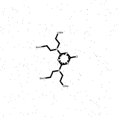 COCCN(CCOC)c1nc(Cl)nc(N(CCOC)CCOC)n1